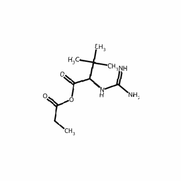 CCC(=O)OC(=O)C(NC(=N)N)C(C)(C)C